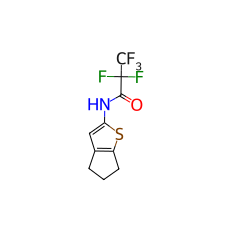 O=C(Nc1cc2c(s1)CCC2)C(F)(F)C(F)(F)F